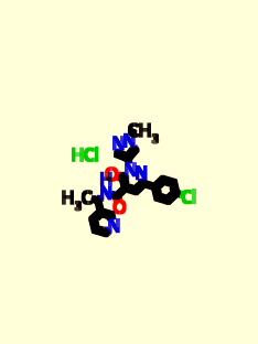 CC(NC(=O)c1cc(-c2ccc(Cl)cc2)nn(-c2cnn(C)c2)c1=O)c1cccnc1.Cl